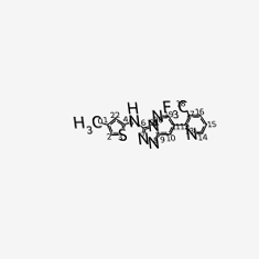 Cc1csc(Nc2nnc3cc(-c4ncccc4C(F)(F)F)cnn23)c1